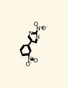 O=[N+]([O-])c1cccc(-c2cnc([N+](=O)[O-])nc2)c1